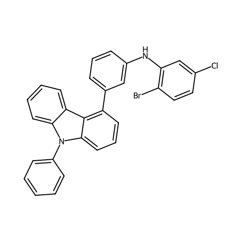 Clc1ccc(Br)c(Nc2cccc(-c3cccc4c3c3ccccc3n4-c3ccccc3)c2)c1